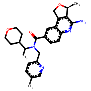 CC(C1CCOCC1)N(Cc1ccc(C(F)(F)F)cn1)C(=O)c1ccc2nc(N)c3c(c2c1)CO[C@H]3C